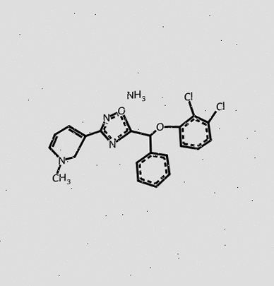 CN1C=CC=C(c2noc(C(Oc3cccc(Cl)c3Cl)c3ccccc3)n2)C1.N